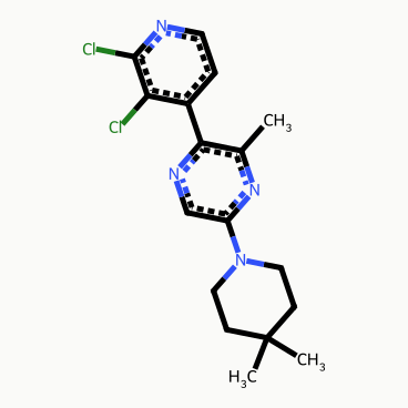 Cc1nc(N2CCC(C)(C)CC2)cnc1-c1ccnc(Cl)c1Cl